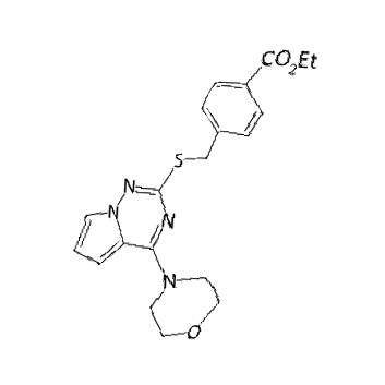 CCOC(=O)c1ccc(CSc2nc(N3CCOCC3)c3cccn3n2)cc1